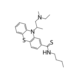 CCCCNC(=S)c1ccc2c(c1)N(C(C)CN(C)CC)c1ccccc1S2